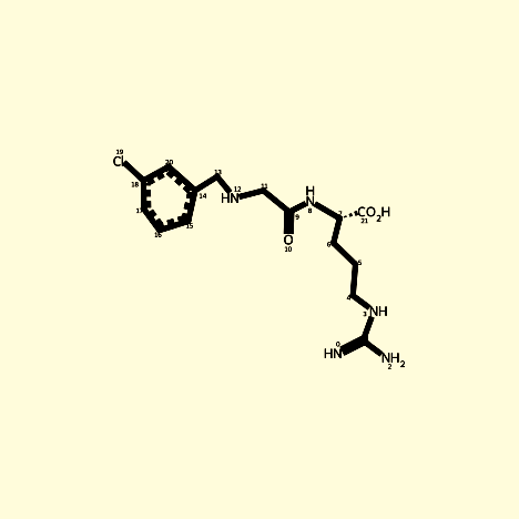 N=C(N)NCCC[C@H](NC(=O)CNCc1cccc(Cl)c1)C(=O)O